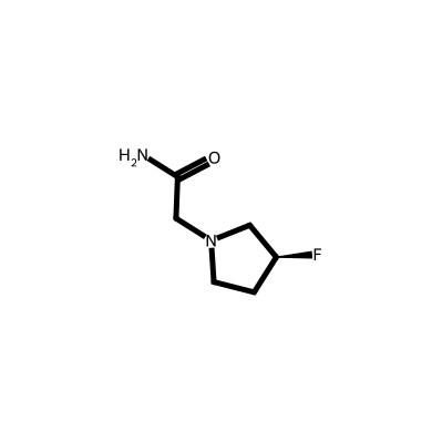 NC(=O)CN1CC[C@H](F)C1